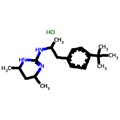 CC1CC(C)NC(NC(C)Cc2ccc(C(C)(C)C)cc2)=N1.Cl